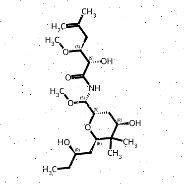 C=C(C)C[C@H](OC)[C@H](O)C(=O)N[C@@H](OC)[C@@H]1C[C@@H](O)C(C)(C)[C@@H](C[C@H](O)CC)O1